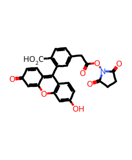 O=C(Cc1ccc(C(=O)O)c(-c2c3ccc(=O)cc-3oc3cc(O)ccc23)c1)ON1C(=O)CCC1=O